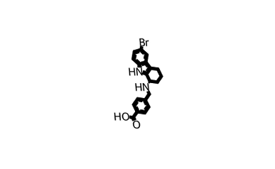 O=C(O)c1ccc(CN[C@@H]2CCCc3c2[nH]c2ccc(Br)cc32)cc1